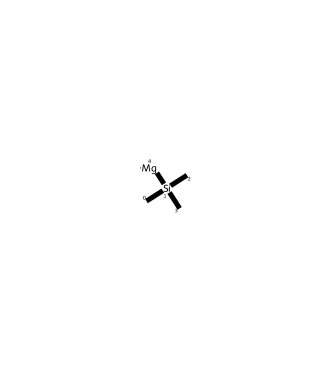 C[Si](C)(C)[Mg]